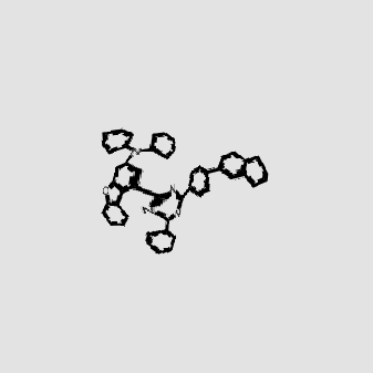 c1ccc(-c2nc(-c3ccc(-c4ccc5ccccc5c4)cc3)nc(-c3cc(N(c4ccccc4)c4ccccc4)cc4oc5ccccc5c34)n2)cc1